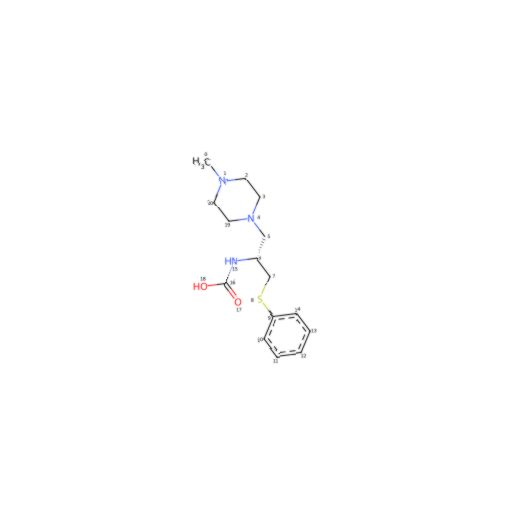 CN1CCN(C[C@H](CSc2ccccc2)NC(=O)O)CC1